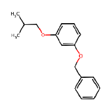 CC(C)COc1cccc(OCc2ccccc2)c1